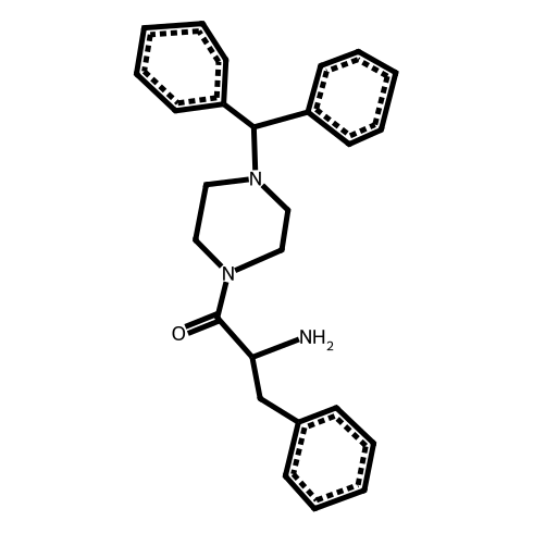 NC(Cc1ccccc1)C(=O)N1CCN(C(c2ccccc2)c2ccccc2)CC1